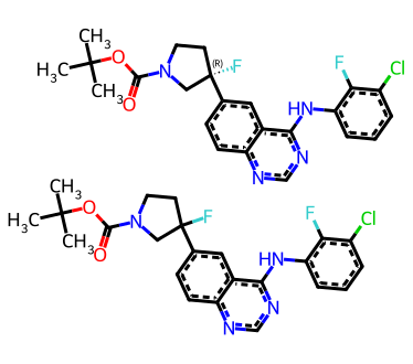 CC(C)(C)OC(=O)N1CCC(F)(c2ccc3ncnc(Nc4cccc(Cl)c4F)c3c2)C1.CC(C)(C)OC(=O)N1CC[C@@](F)(c2ccc3ncnc(Nc4cccc(Cl)c4F)c3c2)C1